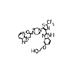 C[C@@H]1CN(c2sc(C(F)(F)F)nc2-c2nc3cc(OCCO)ccc3[nH]2)CCN1C(=O)Cn1cnc2cccnc21